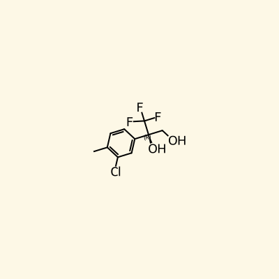 Cc1ccc([C@@](O)(CO)C(F)(F)F)cc1Cl